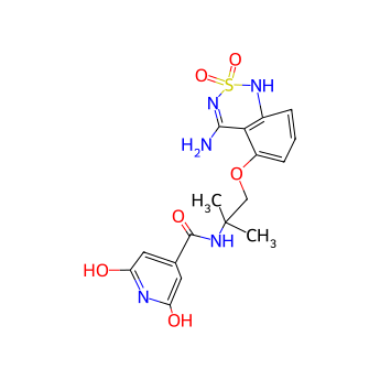 CC(C)(COc1cccc2c1C(N)=NS(=O)(=O)N2)NC(=O)c1cc(O)nc(O)c1